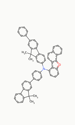 CC1(C)c2ccccc2-c2ccc(-c3ccc(N(c4ccc5c(c4)C(C)(C)c4cc(-c6ccccc6)ccc4-5)c4cccc5oc6c7ccccc7ccc6c45)cc3)cc21